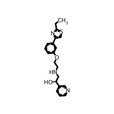 CCc1nc(-c2cccc(OCCNC[C@H](O)c3cccnc3)c2)cs1